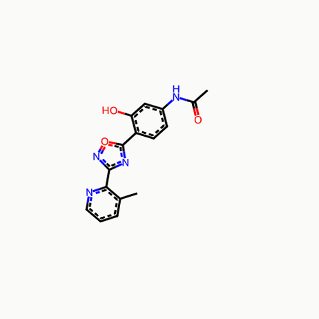 CC(=O)Nc1ccc(-c2nc(-c3ncccc3C)no2)c(O)c1